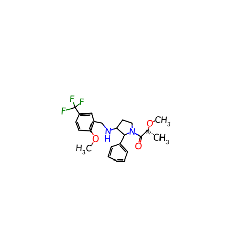 COc1ccc(C(F)(F)F)cc1CNC1CCN(C(=O)[C@@H](C)OC)C1c1ccccc1